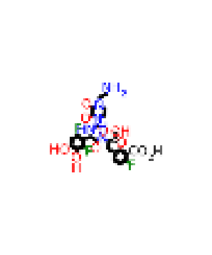 NCCN1CCN(C(=O)N[C@@H](C(=O)N[C@H]2Cc3ccc(F)c(C(=O)O)c3OB2O)c2c(F)cc(O)c(O)c2F)C(=O)C1=O